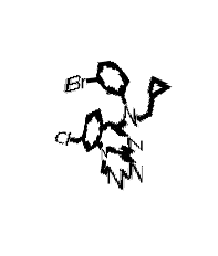 Clc1ccc2c(N(CC3CC3)c3cccc(Br)c3)nc3nncn3c2c1